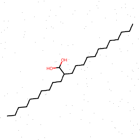 CCCCCCCCCCCCC(CCCCCCCCCC)C(O)O